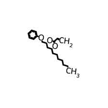 C=CC(=O)OC(CCCCCCCCC)COc1ccccc1